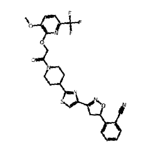 COc1ccc(C(F)(F)F)nc1OCC(=O)N1CCC(c2nc(C3=NOC(c4ccccc4C#N)C3)cs2)CC1